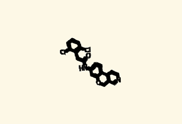 O=C(Cc1c(Cl)cccc1Cl)Nc1ccc2c(c1)OCc1cnccc1-2